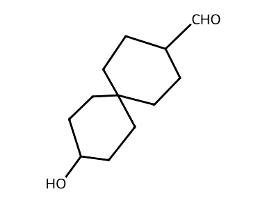 O=CC1CCC2(CCC(O)CC2)CC1